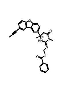 CC#Cc1ccc2sc3ccc([C@]4(C)CC(=O)N(C)C(=NCOC(=O)c5ccccc5)N4)cc3c2c1